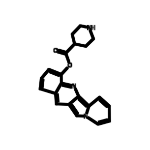 O=C(Oc1cccc2cc3cn4ccccc4c3nc12)C1CCNCC1